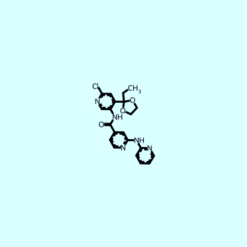 CCC1(c2cc(Cl)ncc2NC(=O)c2ccnc(Nc3ccccn3)c2)OCCO1